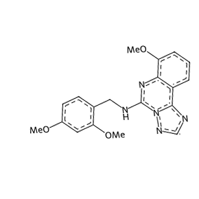 COc1ccc(CNc2nc3c(OC)cccc3c3n[c]nn23)c(OC)c1